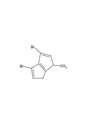 CC1C=C(Br)C2=C1CC=C2Br